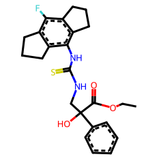 CCOC(=O)C(O)(CNC(=S)Nc1c2c(c(F)c3c1CCC3)CCC2)c1ccccc1